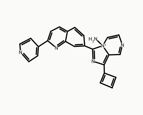 N[N+]12C=CN=CC1=C(C1=CC=C1)N=C2c1ccc2ccc(-c3ccncc3)nc2c1